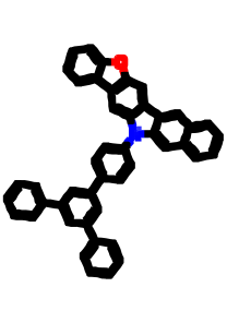 c1ccc(-c2cc(-c3ccccc3)cc(-c3ccc(-n4c5cc6ccccc6cc5c5cc6oc7ccccc7c6cc54)cc3)c2)cc1